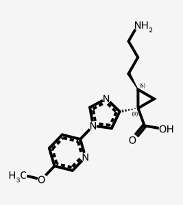 COc1ccc(-n2cnc([C@@]3(C(=O)O)C[C@@H]3CCCN)c2)nc1